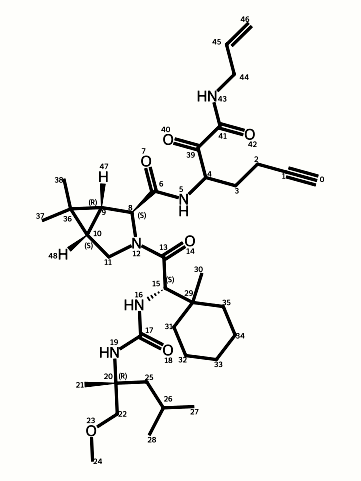 C#CCCC(NC(=O)[C@@H]1[C@@H]2[C@H](CN1C(=O)[C@@H](NC(=O)N[C@@](C)(COC)CC(C)C)C1(C)CCCCC1)C2(C)C)C(=O)C(=O)NCC=C